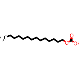 CCCCCCCCCCCCCCOC(=O)O